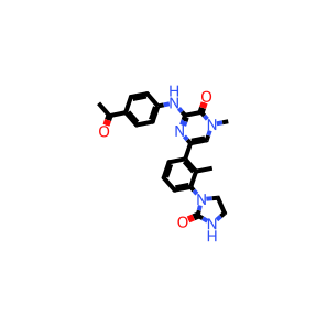 CC(=O)c1ccc(Nc2nc(-c3cccc(N4CCNC4=O)c3C)cn(C)c2=O)cc1